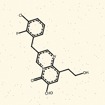 O=Cc1cc(CCO)c2ncc(Cc3cccc(Cl)c3F)cn2c1=O